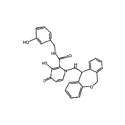 O=C(NCc1cccc(O)c1)c1c(O)c(=O)ccn1NC1c2ccccc2COc2ccccc21